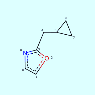 [c]1coc(CC2CC2)n1